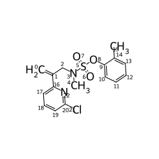 C=C(CN(C)S(=O)(=O)Oc1ccccc1C)c1cccc(Cl)n1